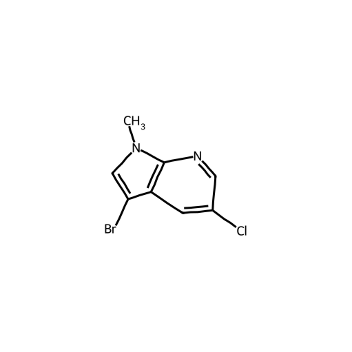 Cn1cc(Br)c2cc(Cl)cnc21